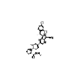 CC1CC(c2cnc3c(C#N)nn([C@H](C)c4ccc(Cl)cc4Cl)c3n2)=CCC1N1CCC[C@H]1C(N)=O